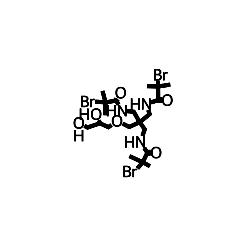 CC(C)(Br)C(=O)NCC(CNC(=O)C(C)(C)Br)(CNC(=O)C(C)(C)Br)COCC(O)CO